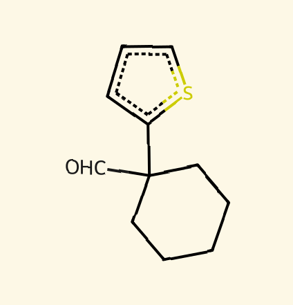 O=CC1(c2cccs2)CCCCC1